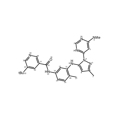 CNc1cc(-n2nc(C)cc2Nc2cc(NC(=O)c3cncc(C(C)(C)C)c3)ccc2C)ncn1